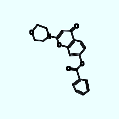 O=C(Oc1ccc2c(=O)cc(N3CCOCC3)oc2c1)c1ccccc1